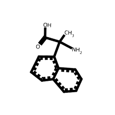 CC(N)(C(=O)O)c1cccc2ccccc12